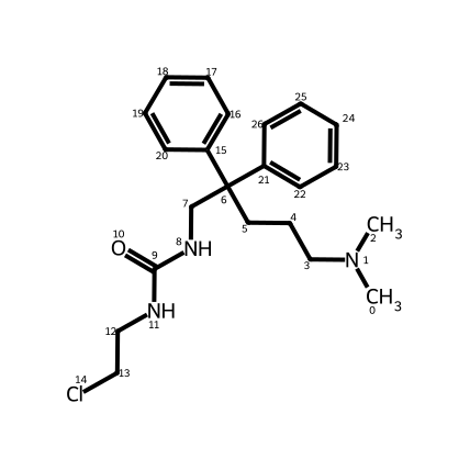 CN(C)CCCC(CNC(=O)NCCCl)(c1ccccc1)c1ccccc1